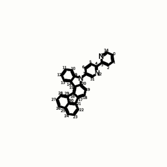 c1ccc(-c2ccc(-n3c4ccccc4c4c5c(ccc43)-c3cccc4cccc-5c34)cn2)nc1